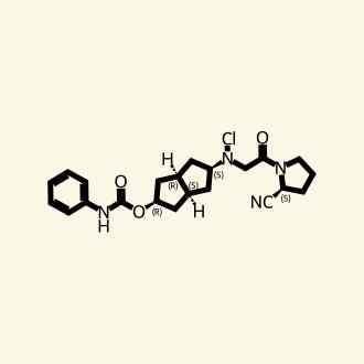 N#C[C@@H]1CCCN1C(=O)CN(Cl)[C@H]1C[C@H]2C[C@@H](OC(=O)Nc3ccccc3)C[C@H]2C1